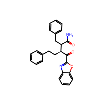 NC(=O)C(Cc1ccccc1)[C@H](CCc1ccccc1)C(=O)c1nc2ccccc2o1